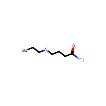 CCC(C)CCNCCCC(N)=O